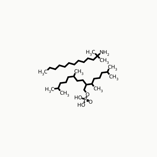 CC(C)CCCC(C)CCC(COP(=O)(O)O)C(C)CCCC(C)C.CCCCCCCCCCCC(C)(C)N